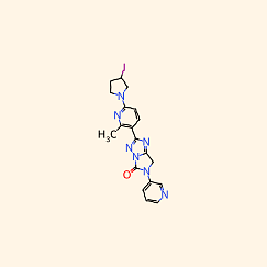 Cc1nc(N2CCC(I)C2)ccc1-c1nc2n(n1)C(=O)N(c1cccnc1)C2